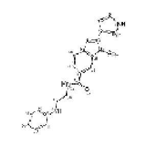 CCCn1c(-c2cc[nH]n2)cc2ccc(C(=O)NCCNc3ccccc3)cc21